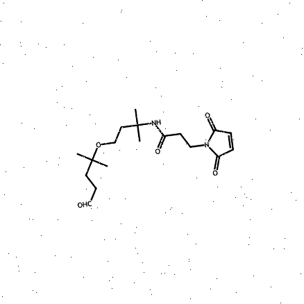 CC(C)(CCOC(C)(C)CCC=O)NC(=O)CCN1C(=O)C=CC1=O